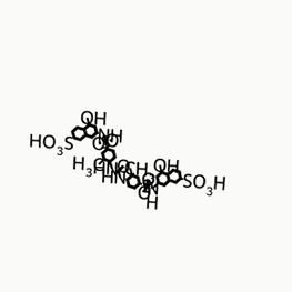 Cc1cc(S(=O)(=O)Nc2cc(O)c3ccc(S(=O)(=O)O)cc3c2)ccc1NC(=O)Nc1ccc(S(=O)(=O)Nc2cc(O)c3ccc(S(=O)(=O)O)cc3c2)cc1C